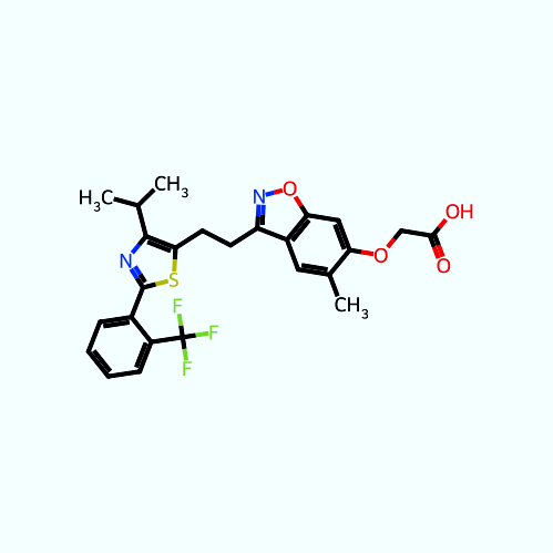 Cc1cc2c(CCc3sc(-c4ccccc4C(F)(F)F)nc3C(C)C)noc2cc1OCC(=O)O